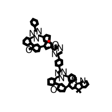 CC1(C)c2cccnc2-c2ncc(-c3ccc4oc5cccc(-c6nc(-c7ccccc7)nc(-c7ccc(-c8cnc9oc%10ccc(-c%11ccc%12oc%13cccc(-c%14nc(-c%15ccccc%15)nc(-c%15ccccc%15)n%14)c%13c%12c%11)cc%10c9n8)cc7)n6)c5c4c3)cc21